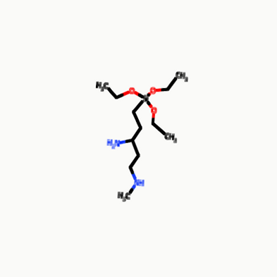 CCO[Si](CCC(N)CCNC)(OCC)OCC